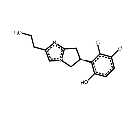 OCCc1cn2c(n1)C[C@@H](c1c(O)ccc(Cl)c1Cl)C2